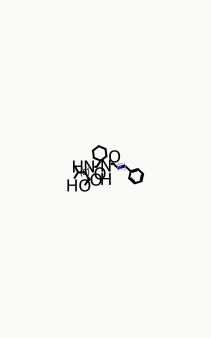 CC(C)[C@H](NC(=O)C1(NC(=O)/C=C/c2ccccc2)CCCCC1)C(=O)O